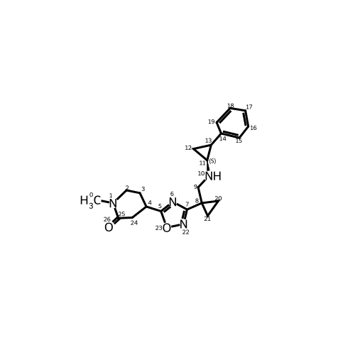 CN1CCC(c2nc(C3(CN[C@H]4CC4c4ccccc4)CC3)no2)CC1=O